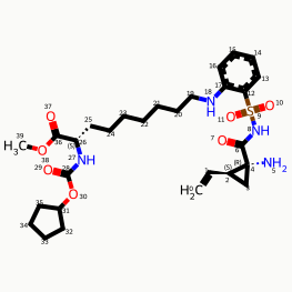 C=C[C@@H]1C[C@]1(N)C(=O)NS(=O)(=O)c1ccccc1NCCCCCCC[C@H](NC(=O)OC1CCCC1)C(=O)OC